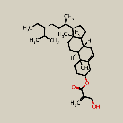 C=C(CO)C(=O)O[C@H]1CC[C@@]2(C)C(=CC[C@H]3[C@@H]4CC[C@H]([C@H](C)CC[C@@H](CC)C(C)C)[C@@]4(C)CC[C@@H]32)C1